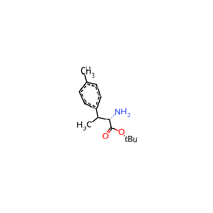 Cc1ccc(C(C)[C@H](N)C(=O)OC(C)(C)C)cc1